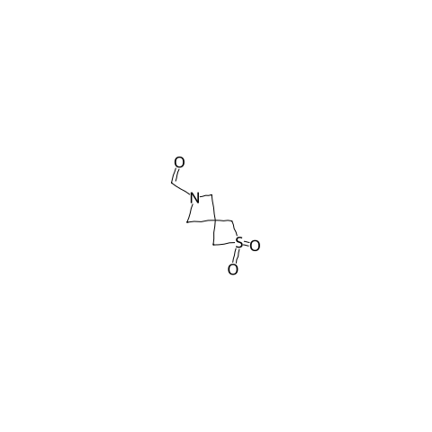 O=CN1CC2(C1)CS(=O)(=O)C2